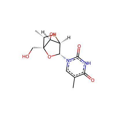 Cc1cn([C@@H]2O[C@@]3(CO)[C@H](C)S[C@@H]2[C@@H]3O)c(=O)[nH]c1=O